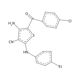 [C-]#[N+]c1c(Nc2ccc(CC)cc2)sc(C(=O)c2ccc(Cl)cc2)c1N